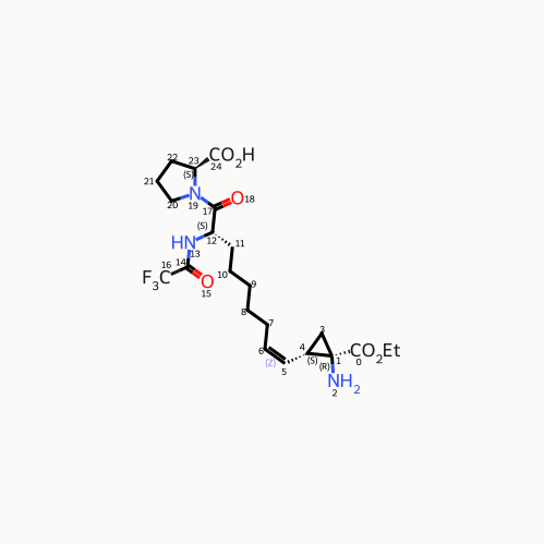 CCOC(=O)[C@@]1(N)C[C@H]1/C=C\CCCCC[C@H](NC(=O)C(F)(F)F)C(=O)N1CCC[C@H]1C(=O)O